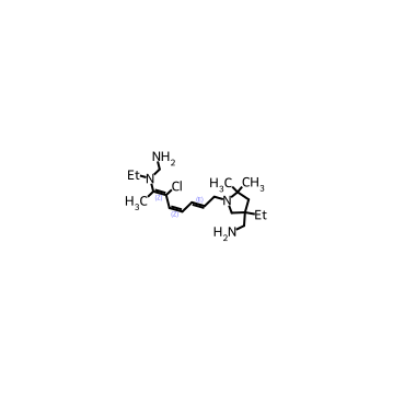 CCN(CN)/C(C)=C(Cl)/C=C\C=C\CN1CC(CC)(CN)CC1(C)C